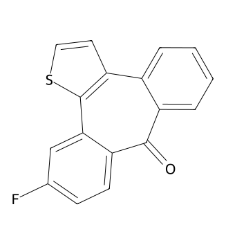 O=c1c2ccccc2c2ccsc2c2cc(F)ccc12